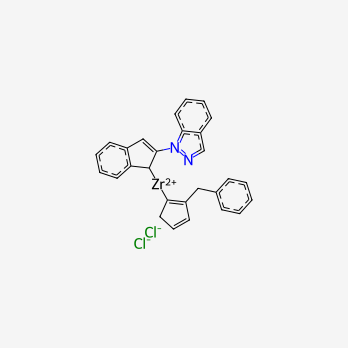 C1=CC(Cc2ccccc2)=[C]([Zr+2][CH]2C(n3ncc4ccccc43)=Cc3ccccc32)C1.[Cl-].[Cl-]